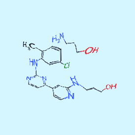 Cc1ccc(Cl)cc1Nc1nccc(-c2ccnc(NCCCO)c2)n1.NCCCO